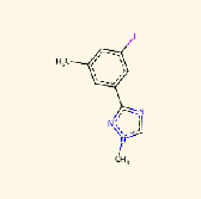 Cc1cc(I)cc(-c2ncn(C)n2)c1